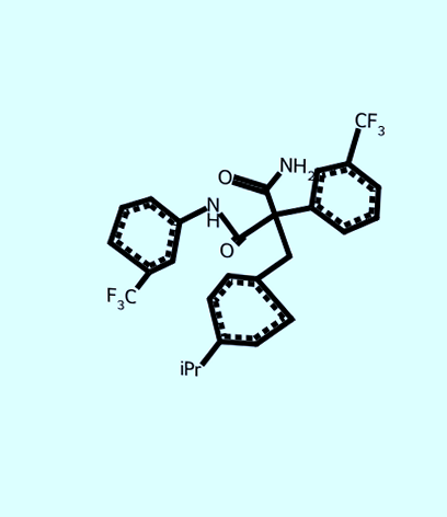 CC(C)c1ccc(CC(C(N)=O)(C(=O)Nc2cccc(C(F)(F)F)c2)c2cccc(C(F)(F)F)c2)cc1